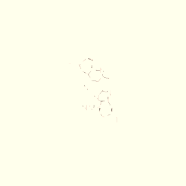 CNCCNc1c(-c2nc3cc(F)c(Cl)cc3[nH]2)c(=O)[nH]c2ccc(Br)cc12